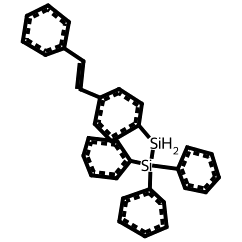 C(=Cc1ccc([SiH2][Si](c2ccccc2)(c2ccccc2)c2ccccc2)cc1)c1ccccc1